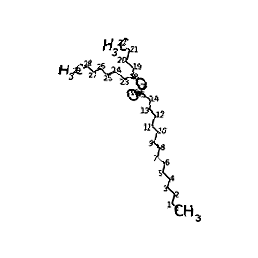 CCCCCCCCCCCCCCCC(=O)OC(CCCC)CCCCCCC